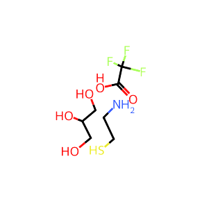 NCCS.O=C(O)C(F)(F)F.OCC(O)CO